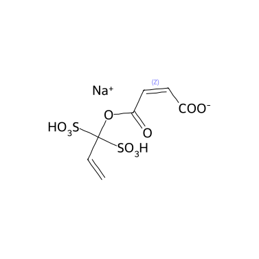 C=CC(OC(=O)/C=C\C(=O)[O-])(S(=O)(=O)O)S(=O)(=O)O.[Na+]